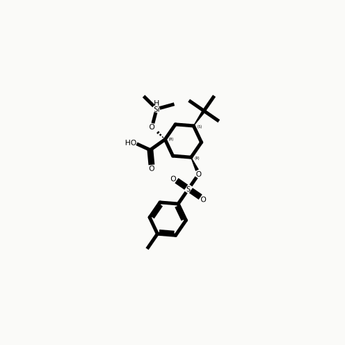 Cc1ccc(S(=O)(=O)O[C@@H]2C[C@H](C(C)(C)C)C[C@](O[SiH](C)C)(C(=O)O)C2)cc1